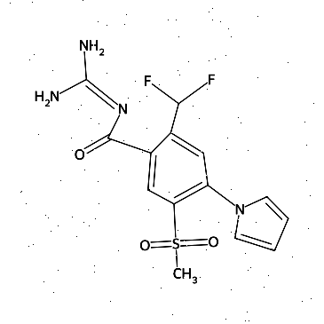 CS(=O)(=O)c1cc(C(=O)N=C(N)N)c(C(F)F)cc1-n1cccc1